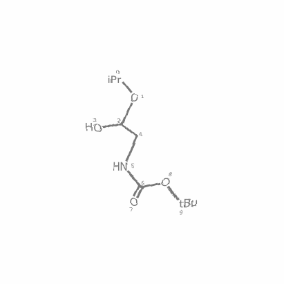 CC(C)OC(O)CNC(=O)OC(C)(C)C